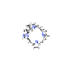 C1=C2CCC(=N2)C=C2CC[C@@H](N2)[C@H]2CCC(=N2)C=C2CCC1=N2